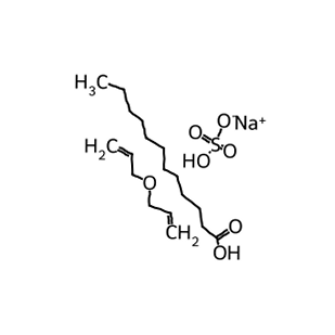 C=CCOCC=C.CCCCCCCCCCCC(=O)O.O=S(=O)([O-])O.[Na+]